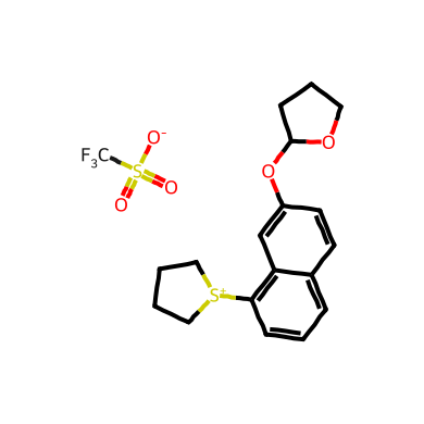 O=S(=O)([O-])C(F)(F)F.c1cc([S+]2CCCC2)c2cc(OC3CCCO3)ccc2c1